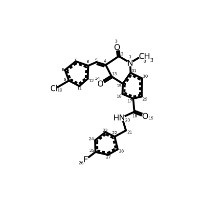 CN1C(=O)/C(=C/c2ccc(Cl)cc2)C(=O)c2cc(C(=O)NCc3ccc(F)cc3)ccc21